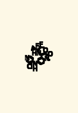 CN1C(=O)C2=C(N[C@@H](C3CC3)C(F)(F)CO2)C2=CC(Nc3ccncc3Cl)=CCC21